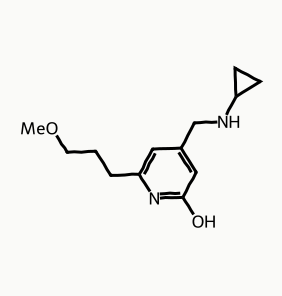 COCCCc1cc(CNC2CC2)cc(O)n1